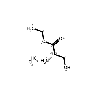 CCOC(=O)[C@@H](N)CO.Cl.Cl